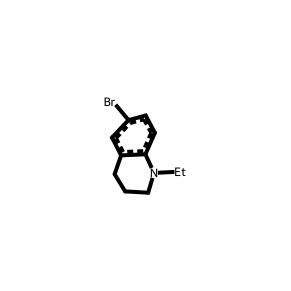 [CH2]CN1CCCc2cc(Br)ccc21